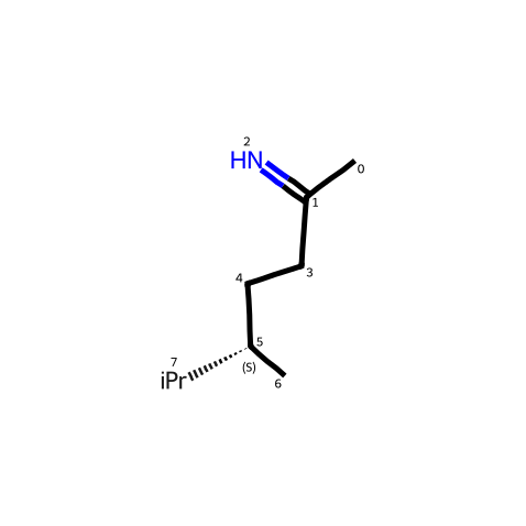 CC(=N)CC[C@H](C)C(C)C